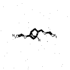 C=COCC1CC2O[C@@H]1CC2OC=C